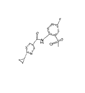 CS(=O)(=O)c1cc(F)ccc1NC(=O)c1cnc(C2CC2)nc1